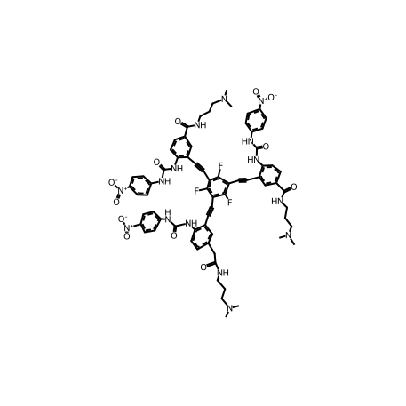 CN(C)CCCNC(=O)Cc1ccc(NC(=O)Nc2ccc([N+](=O)[O-])cc2)c(C#Cc2c(F)c(C#Cc3cc(C(=O)NCCCN(C)C)ccc3NC(=O)Nc3ccc([N+](=O)[O-])cc3)c(F)c(C#Cc3cc(C(=O)NCCCN(C)C)ccc3NC(=O)Nc3ccc([N+](=O)[O-])cc3)c2F)c1